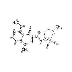 CCCc1sc(NC(=O)c2c(OC)ncnc2OC)nc1C(F)(F)F